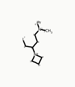 CC(C)N(C)CCC(CI)N1CCC1